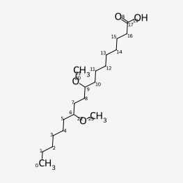 CCCCCCC(CCC(CCCCCCCC(=O)O)OC)OC